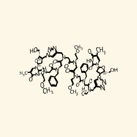 CCN(Cc1cn(C2C[C@H](n3cc(C)c(=O)[nH]c3=O)O[C@@H]2CO)nn1)C(=O)CN(Cc1ccccc1)C(=O)CN(CCOC)C(=O)CN(CCOC)C(=O)CN(Cc1cn(C2C[C@H](n3cc(C)c(=O)[nH]c3=O)O[C@@H]2CO)nn1)C(=O)CN(Cc1ccccc1)C(=O)CNCCOC